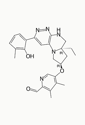 CC[C@@]12CNc3nnc(-c4cccc(C)c4O)cc3N1C[C@H](Oc1cnc(C=O)c(C)c1C)C2